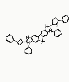 CC1(C)c2cc3c(cc2-c2cc4nc(-c5ccc(-c6ccccc6)s5)n(-c5ccccc5)c4cc21)nc(C1=CCC(c2ccccc2)S1)n3-c1ccccc1